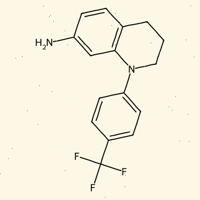 Nc1ccc2c(c1)N(c1ccc(C(F)(F)F)cc1)CCC2